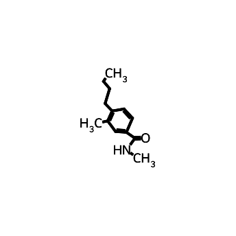 CCCCc1ccc(C(=O)NC)cc1C